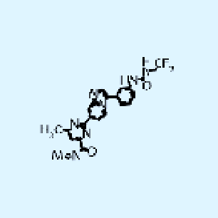 CNC(=O)c1cc(C)nc(-c2ccn3c(-c4cccc(NC(=O)NCC(F)(F)F)c4)cnc3c2)n1